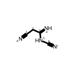 N#CCC(=N)NC#N